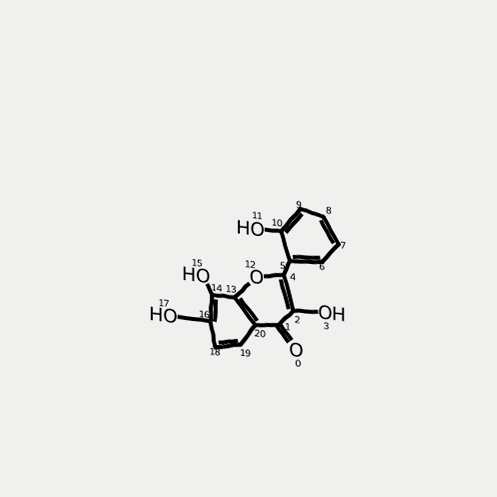 O=c1c(O)c(-c2ccccc2O)oc2c(O)c(O)ccc12